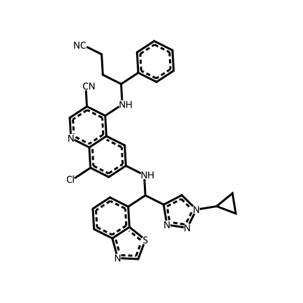 N#CCCC(Nc1c(C#N)cnc2c(Cl)cc(NC(c3cn(C4CC4)nn3)c3cccc4ncsc34)cc12)c1ccccc1